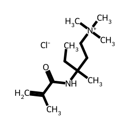 C=C(C)C(=O)NC(C)(CC)CC[N+](C)(C)C.[Cl-]